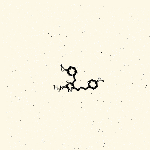 COc1ccc(CCCc2nc(N)sc2Cc2cccc(OC)c2)cc1